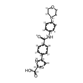 O=C(Nc1ccc(N2CCOCC2)cc1)c1ccc(-c2csc(C(=O)O)n2)cc1